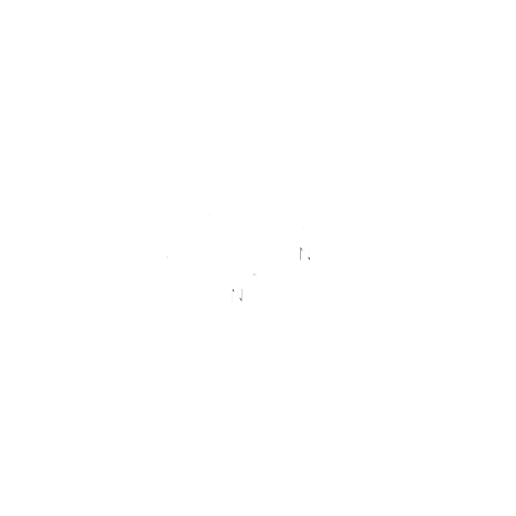 c1ccc(-c2ccc(-n3c4ccccc4c4ccc(N(c5ccc6c(c5)C(c5ccccc5)(c5cccc(-c7ccccc7)c5)c5ccccc5-6)c5cccc6ccccc56)cc43)cc2)cc1